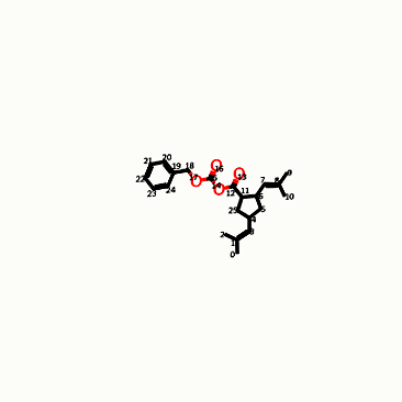 CC(C)=CC1CC(C=C(C)C)C(C(=O)OC(=O)OCc2ccccc2)C1